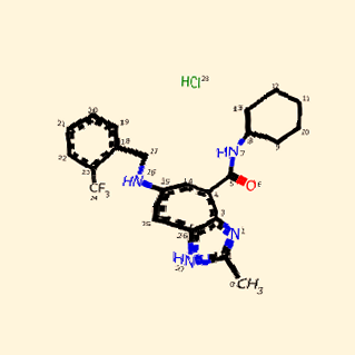 Cc1nc2c(C(=O)NC3CCCCC3)cc(NCc3ccccc3C(F)(F)F)cc2[nH]1.Cl